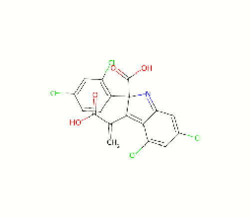 C=C(C(=O)O)C1=c2c(Cl)cc(Cl)cc2=NC1(C(=O)O)c1ccc(Cl)cc1Cl